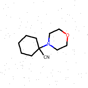 N#CC1(N2CCOCC2)CCCCC1